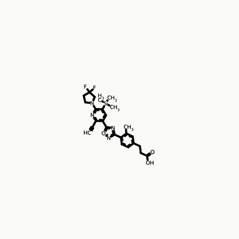 C#Cc1nc(N2CCC(F)(F)C2)c([Si](C)(C)C)cc1-c1nc(-c2ccc(CCC(=O)O)cc2C)no1